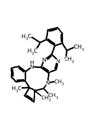 CC(C)c1cccc(C(C)C)c1-c1ncc2c(n1)Nc1ccccc1C1(C)C=CC1(C)C(C)N2C